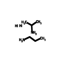 CC(C)N.CCCN.I.I